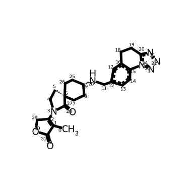 CC1=C(N2CC[C@]3(CC[C@@H](NCc4ccc5c(c4)CCc4nnnn4-5)CC3)C2=O)COC1=O